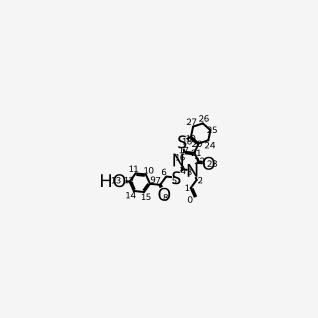 C=CCn1c(SCC(=O)c2ccc(O)cc2)nc2sc3c(c2c1=O)CCCC3